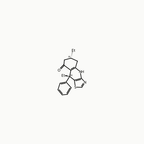 CC[C@H]1CC(=O)C2=C(C1)Nc1ncsc1[C@]2(CC)c1ccccc1